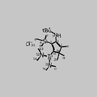 CC1=C(NC(C)(C)C)C([Si](C)(C)C)=[C]([Ti+]([N](C)C)[N](C)C)C1(C)C.[Cl-]